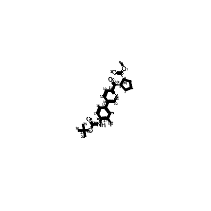 COC(=O)[C@@H]1CCC[C@H]1C(=O)c1ccc(-c2ccc(NC(=O)OC(C)(C)C)c(F)c2)cn1